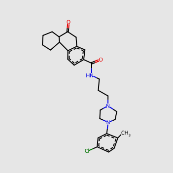 Cc1ccc(Cl)cc1N1CCN(CCCNC(=O)c2ccc3c(c2)CC(=O)C2CCCCC32)CC1